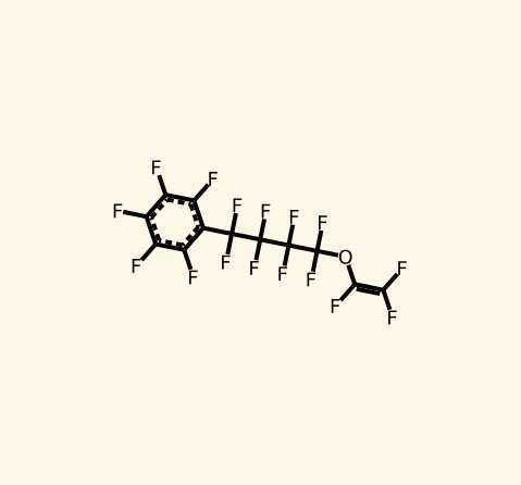 FC(F)=C(F)OC(F)(F)C(F)(F)C(F)(F)C(F)(F)c1c(F)c(F)c(F)c(F)c1F